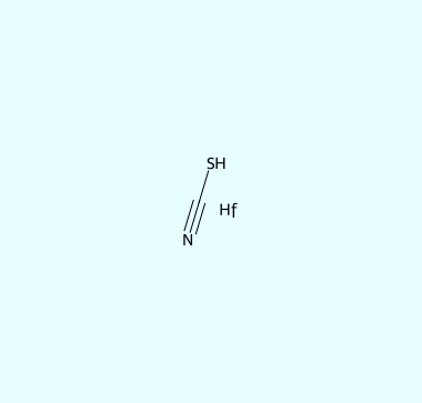 N#CS.[Hf]